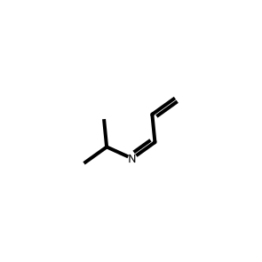 C=C/C=N\C(C)C